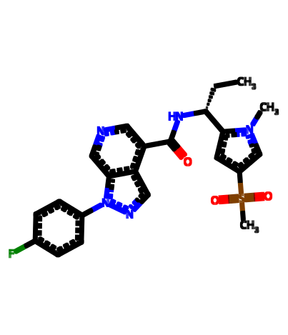 CC[C@@H](NC(=O)c1cncc2c1cnn2-c1ccc(F)cc1)c1cc(S(C)(=O)=O)cn1C